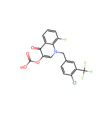 O=C(O)Oc1cn(Cc2ccc(Cl)c(C(F)(F)F)c2)c2c(F)cccc2c1=O